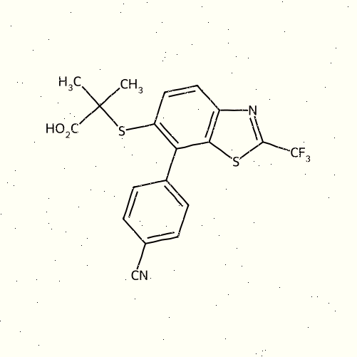 CC(C)(Sc1ccc2nc(C(F)(F)F)sc2c1-c1ccc(C#N)cc1)C(=O)O